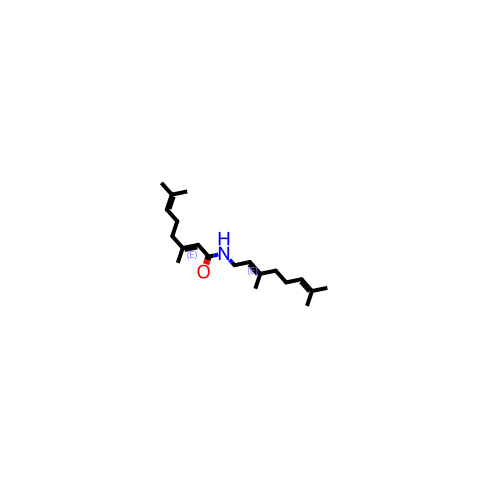 CC(C)=CCC/C(C)=C/CNC(=O)/C=C(\C)CCC=C(C)C